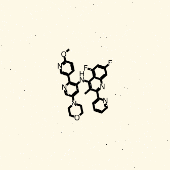 COc1ccc(-c2ncc(N3CCOCC3)cc2Nc2c(C)c(-c3ccccn3)nc3cc(F)cc(F)c23)cn1